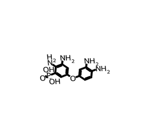 Nc1ccc(Oc2cc(N)c(N)c(P(=O)(O)O)c2)cc1N